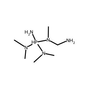 CN(C)[PH](N)(N(C)C)N(C)CN